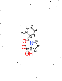 Cc1ccccc1C(=O)N1CCCC1C(=O)O